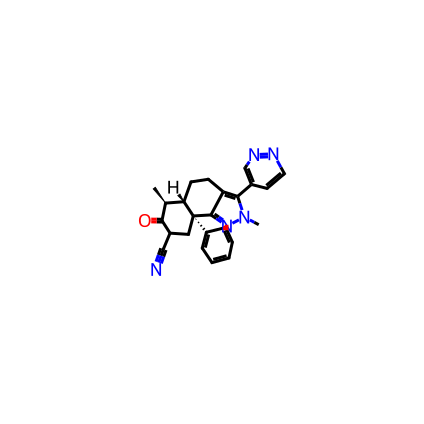 C[C@@H]1C(=O)C(C#N)C[C@]2(c3ccccc3)c3nn(C)c(-c4ccnnc4)c3CC[C@@H]12